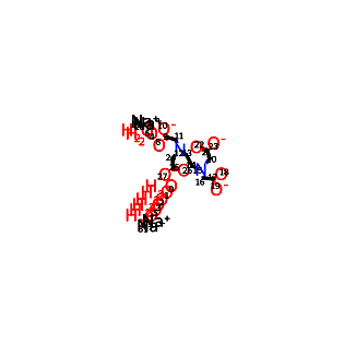 O.O.O.O.O.O.O.O.O=C([O-])CN(CCN(CC(=O)[O-])CC(=O)[O-])CC(=O)[O-].[Na+].[Na+].[Na+].[Na+]